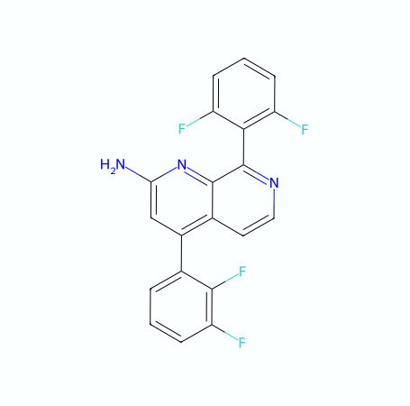 Nc1cc(-c2cccc(F)c2F)c2ccnc(-c3c(F)cccc3F)c2n1